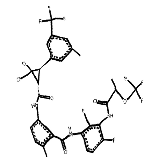 Cc1cc([C@H]2[C@H](C(=O)Nc3ccc(Cl)c(C(=O)Nc4ccc(F)c(NC(=O)C(C)OC(F)(F)F)c4F)c3)C2(Cl)Cl)cc(C(F)(F)F)c1